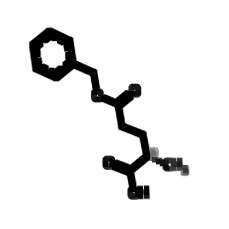 C[C@@H](CCC(=O)OCc1ccccc1)C(=O)O